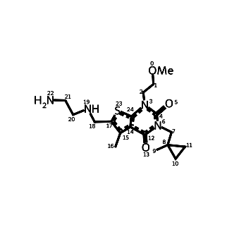 COCCn1c(=O)n(CC2(C)CC2)c(=O)c2c(C)c(CNCCN)sc21